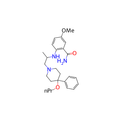 CCCOC1(c2ccccc2)CCN(CC(C)Nc2ccc(OC)cc2C(N)=O)CC1